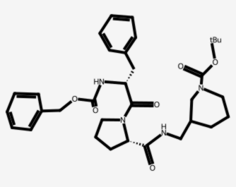 CC(C)(C)OC(=O)N1CCCC(CNC(=O)[C@@H]2CCCN2C(=O)[C@@H](Cc2ccccc2)NC(=O)OCc2ccccc2)C1